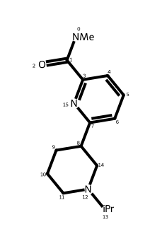 CNC(=O)c1cccc(C2CCCN(C(C)C)C2)n1